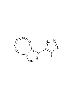 c1ccc2ccc(-c3nnn[nH]3)c-2cc1